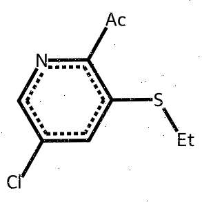 CCSc1cc(Cl)cnc1C(C)=O